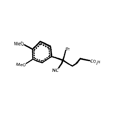 COc1ccc(C(C#N)(CCC(=O)O)C(C)C)cc1OC